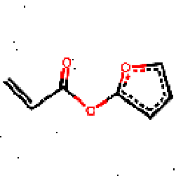 C=CC(=O)Oc1ccco1